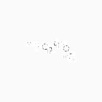 COC(=O)c1ccn2c(-c3csc(Nc4ccc(C(=O)NO)cc4)n3)c(C)nc2c1